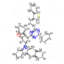 c1ccc(-c2nc(-c3ccc4c(c3)sc3ccccc34)nc(-c3cc(-n4c5ccccc5c5cc6ccccc6cc54)cc4oc5ccccc5c34)n2)cc1